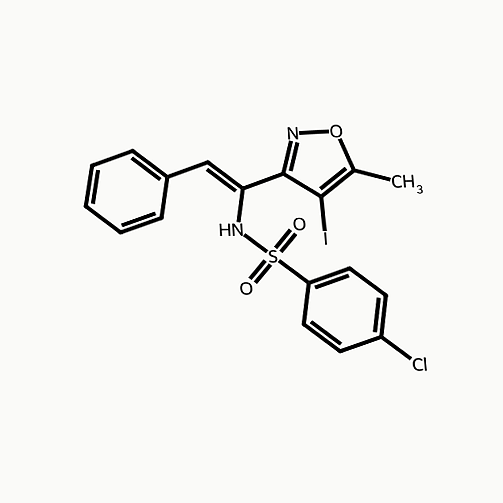 Cc1onc(C(=Cc2ccccc2)NS(=O)(=O)c2ccc(Cl)cc2)c1I